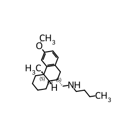 CCCCNC[C@H]1Cc2ccc(OC)cc2[C@@]2(C)CCCC[C@@H]12